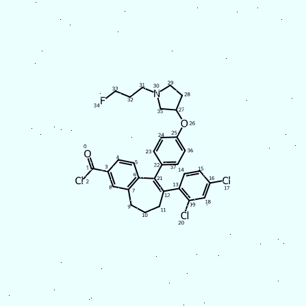 O=C(Cl)c1ccc2c(c1)CCCC(c1ccc(Cl)cc1Cl)=C2c1ccc(OC2CCN(CCCF)C2)cc1